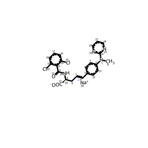 CN(c1ccc(/C=C/C[C@H](NC(=O)c2c(Cl)cccc2Cl)C(=O)[O-])cc1)c1ncccn1.[Na+]